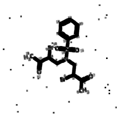 CC(=O)C(Br)CN(CC(Br)C(C)=O)S(=O)(=O)c1ccccc1